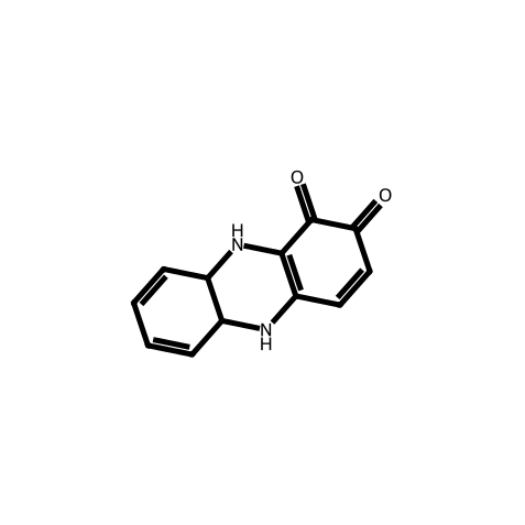 O=C1C=CC2=C(NC3C=CC=CC3N2)C1=O